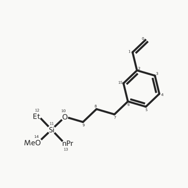 C=Cc1cccc(CCCO[Si](CC)(CCC)OC)c1